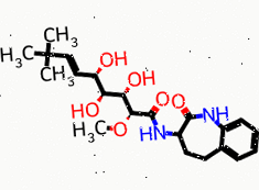 CO[C@@H](C(=O)NC1CCc2ccccc2NC1=O)[C@H](O)[C@@H](O)[C@H](O)/C=C/C(C)(C)C